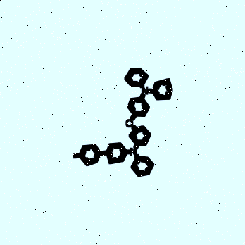 Cc1ccc(-c2ccc(N(c3ccccc3)c3cccc(Oc4ccc(N(c5ccccc5)c5ccccc5)cc4)c3)cc2)cc1